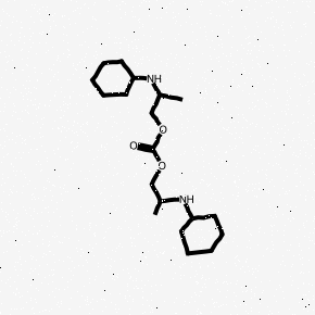 CC(COC(=O)OCC(C)NC1CCCCC1)NC1CCCCC1